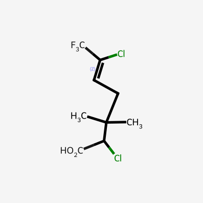 CC(C)(C/C=C(\Cl)C(F)(F)F)C(Cl)C(=O)O